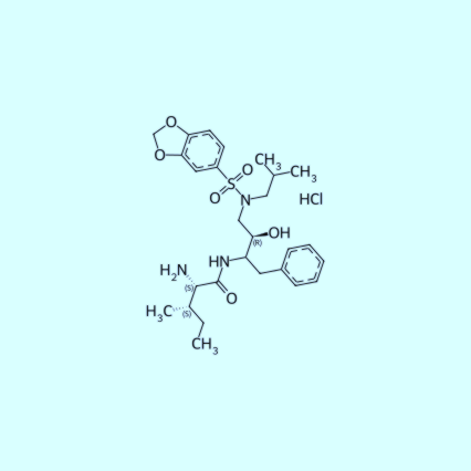 CC[C@H](C)[C@H](N)C(=O)NC(Cc1ccccc1)[C@H](O)CN(CC(C)C)S(=O)(=O)c1ccc2c(c1)OCO2.Cl